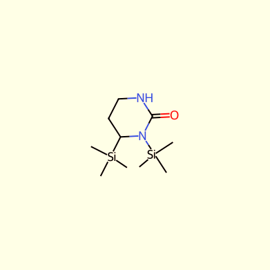 C[Si](C)(C)C1CCNC(=O)N1[Si](C)(C)C